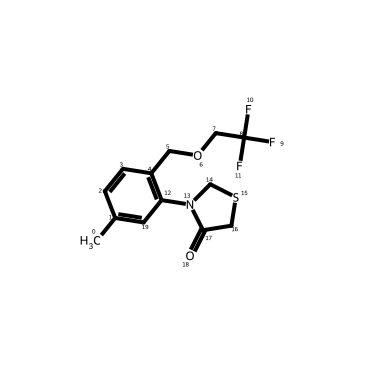 Cc1ccc(COCC(F)(F)F)c(N2CSCC2=O)c1